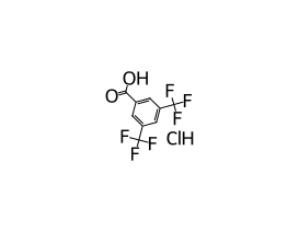 Cl.O=C(O)c1cc(C(F)(F)F)cc(C(F)(F)F)c1